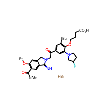 Br.CCOc1cc2c(cc1C(=O)NC)C(=N)N(CC(=O)c1cc(N3CCC(F)C3)c(OCCCC(=O)O)c(C(C)(C)C)c1)C2